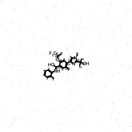 Cc1ccccc1NC(O)c1cc(F)c(-c2cn(C)c(C(C)(C)O)n2)cc1O[C@@H](C)C(F)(F)F